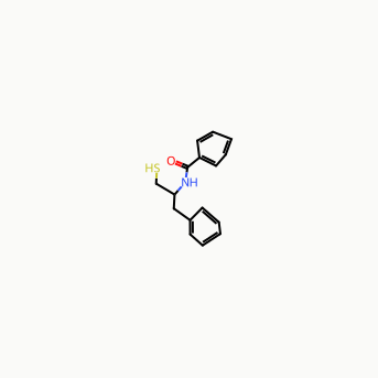 O=C(NC(CS)Cc1ccccc1)c1ccccc1